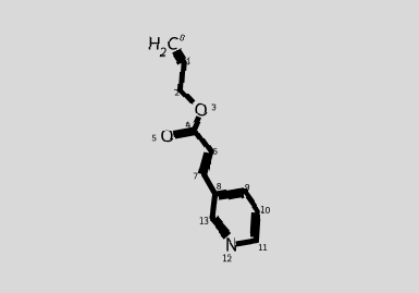 C=CCOC(=O)/C=C/c1cccnc1